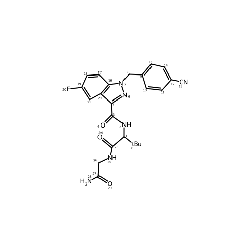 CC(C)(C)C(NC(=O)c1nn(Cc2ccc(C#N)cc2)c2ccc(F)cc12)C(=O)NCC(N)=O